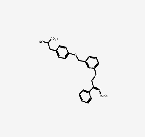 CON=C(COc1cccc(COc2ccc(CC(C#N)C(=O)O)cc2)c1)c1ccccc1